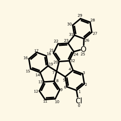 Clc1ccc2c(c1)C1(c3ccccc3-c3ccccc31)c1ccc3c(oc4ccccc43)c1-2